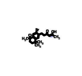 C/C(O)=C/C(=O)CCc1cc2c(cc1Br)C(C)(C)CCC2(C)C